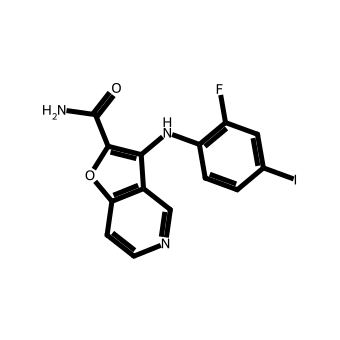 NC(=O)c1oc2ccncc2c1Nc1ccc(I)cc1F